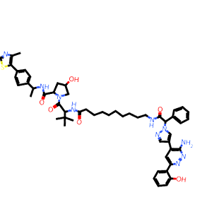 Cc1ncsc1-c1ccc(C(C)NC(=O)C2CC(O)CN2C(=O)C(NC(=O)CCCCCCCCCNC(=O)C(c2ccccc2)n2cc(-c3cc(-c4ccccc4O)nnc3N)cn2)C(C)(C)C)cc1